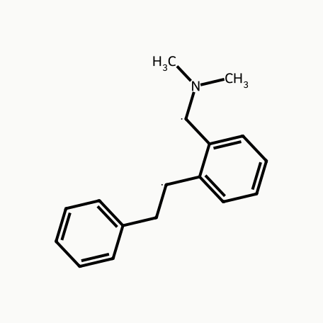 CN(C)[CH]c1ccccc1[CH]Cc1ccccc1